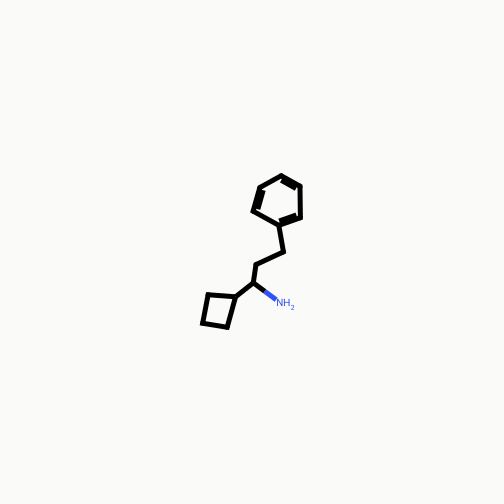 NC(CCc1ccccc1)C1CCC1